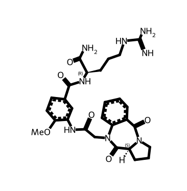 COc1ccc(C(=O)N[C@H](CCCNC(=N)N)C(N)=O)cc1NC(=O)CN1C(=O)[C@@H]2CCCN2C(=O)c2ccccc21